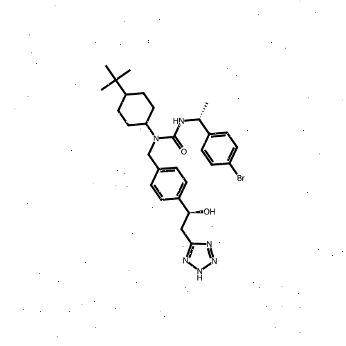 C[C@@H](NC(=O)N(Cc1ccc([C@@H](O)Cc2nn[nH]n2)cc1)C1CCC(C(C)(C)C)CC1)c1ccc(Br)cc1